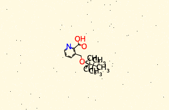 CC(C)(C)[Si](C)(C)OCc1cccnc1C(=O)O